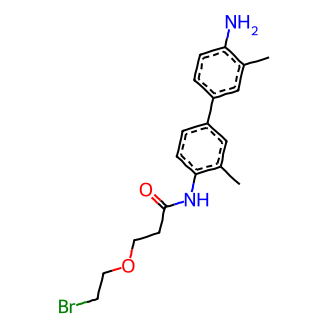 Cc1cc(-c2ccc(NC(=O)CCOCCBr)c(C)c2)ccc1N